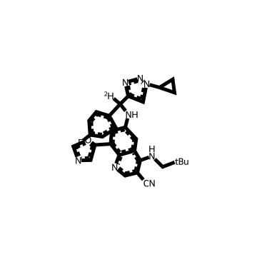 [2H]C(Nc1cc(-c2cnco2)c2ncc(C#N)c(NCC(C)(C)C)c2c1)(c1ccc(F)cc1)c1cn(C2CC2)nn1